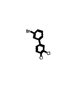 Clc1ccc(-c2cccc(Br)c2)cc1Cl